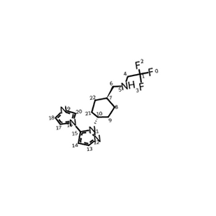 FC(F)(F)CNC[C@H]1CC[C@H](n2nccc2-n2ccnc2)CC1